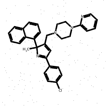 CC1(c2cccc3ccccc23)N=C(c2ccc(Cl)cc2)C=C1CN1CCN(c2ccccn2)CC1